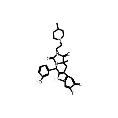 CC1CCN(CCN2C(=O)N3C(c4cccc(O)c4)c4[nH]c5cc(F)c(Cl)cc5c4CC3(C)C2=O)CC1